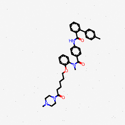 Cc1ccc(-c2ccccc2C(=O)Nc2ccc(C(=O)N(C)c3ccccc3OCCCCCC(=O)N3CCN(C)CC3)cc2)cc1